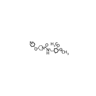 COc1ccc(CCNC(=O)N2CCC(Oc3ccncc3)CC2)cc1OC